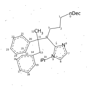 CCCCCCCCCCCCCC(c1nccn1C(C)C)C(C)(Cc1ccccc1)c1ccccc1